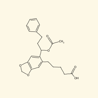 CC(=O)OC(CCc1ccccc1)c1cc2c(cc1CCCCC(=O)O)OCO2